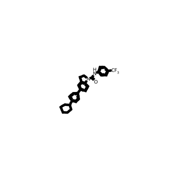 O=C(Nc1ccc(C(F)(F)F)cc1)N1CCc2cc(-c3ccc(C4CCCCC4)cc3)ccc21